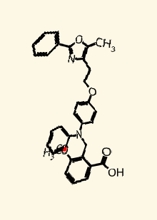 COc1cccc(C(=O)O)c1CN(c1ccccc1)c1ccc(OCCc2nc(-c3ccccc3)oc2C)cc1